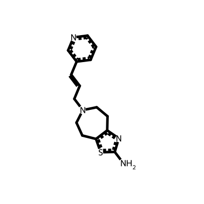 Nc1nc2c(s1)CCN(CC=Cc1cccnc1)CC2